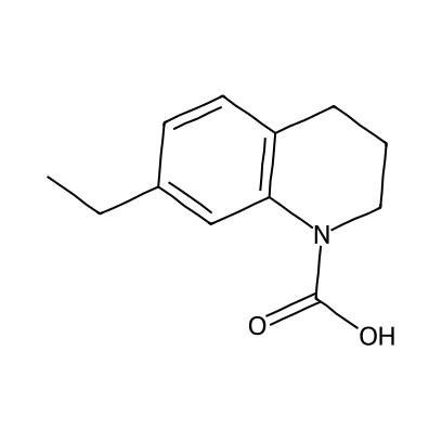 CCc1ccc2c(c1)N(C(=O)O)CCC2